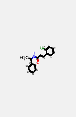 CC(NC(=O)/C=C/c1ccccc1Cl)c1ccccc1